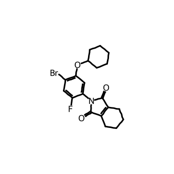 O=C1C2=C(CCCC2)C(=O)N1c1cc(OC2CCCCC2)c(Br)cc1F